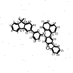 CC1(C)c2ccccc2-c2cc(-c3cccc(N4c5cc6oc7ccccc7c6cc5-c5cccc6cccc4c56)c3)ccc21